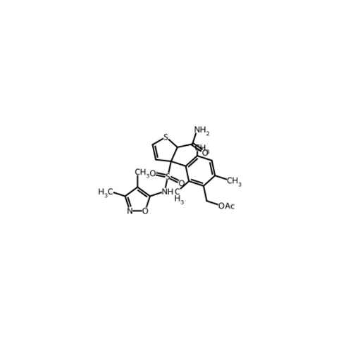 CC(=O)OCc1c(C)cc(C)c(C2(S(=O)(=O)Nc3onc(C)c3C)C=CSC2C(N)=O)c1C